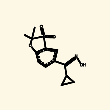 CC1(C)Oc2ccc(C(=NO)C3CC3)cc2S1(=O)=O